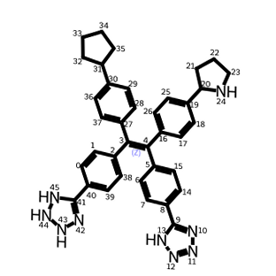 c1cc(/C(=C(\c2ccc(-c3nnn[nH]3)cc2)c2ccc(C3CCCN3)cc2)c2ccc(C3CCCC3)cc2)ccc1C1=NNNN1